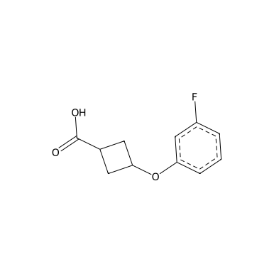 O=C(O)C1CC(Oc2cccc(F)c2)C1